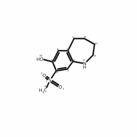 CS(=O)(=O)c1cc2c(cc1O)CCCCN2